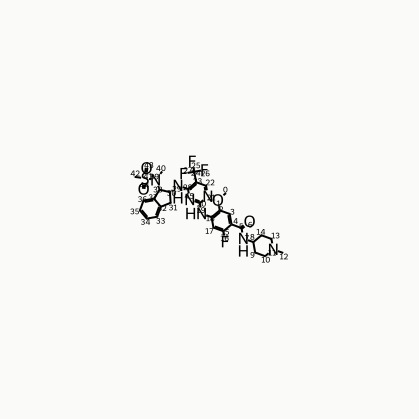 COc1cc(C(=O)NC2CCN(C)CC2)c(F)cc1Nc1ncc(C(F)(F)F)c(N[C@@H]2Cc3ccccc3[C@H]2N(C)S(C)(=O)=O)n1